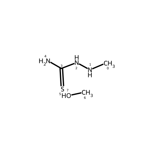 CNNC(N)=S.CO